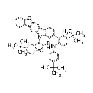 CC(C)(C)c1ccc(Nc2ccc(C(C)(C)C)cc2-c2ccc3c4cc5oc6ccccc6c5cc4n4c3c2Bc2oc3ccc(C(C)(C)C)cc3c2-4)cc1